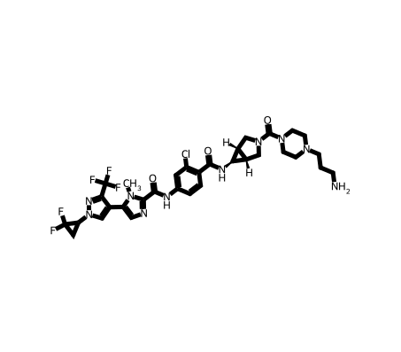 Cn1c(-c2cn(C3CC3(F)F)nc2C(F)(F)F)cnc1C(=O)Nc1ccc(C(=O)N[C@H]2[C@@H]3CN(C(=O)N4CCN(CCCN)CC4)C[C@@H]32)c(Cl)c1